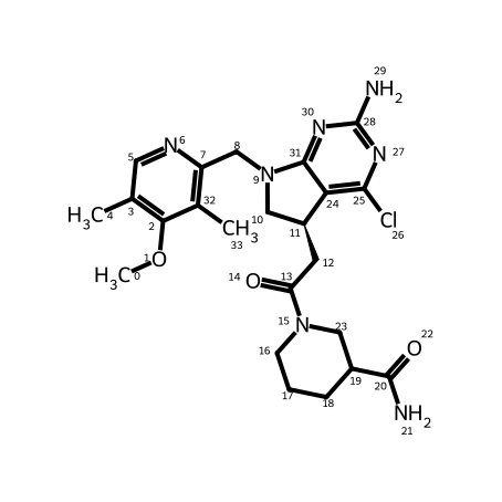 COc1c(C)cnc(CN2C[C@H](CC(=O)N3CCCC(C(N)=O)C3)c3c(Cl)nc(N)nc32)c1C